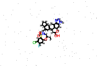 CC[C@@H]1CN(Cc2cc([C@H](CC(=O)O)c3ccc4c(nnn4C)c3C)cc3c2CCC3)S(=O)(=O)c2cc(Cl)c(F)cc2O1